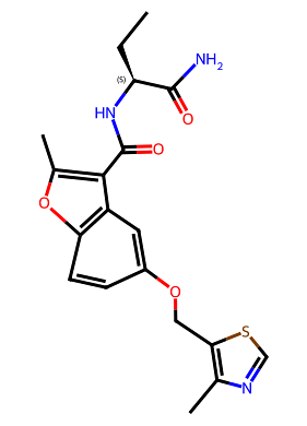 CC[C@H](NC(=O)c1c(C)oc2ccc(OCc3scnc3C)cc12)C(N)=O